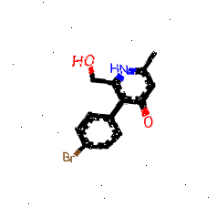 Cc1cc(=O)c(-c2ccc(Br)cc2)c(CO)[nH]1